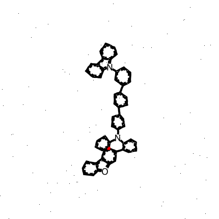 c1ccc(N(c2ccc(-c3ccc(-c4cccc(-n5c6ccccc6c6ccccc65)c4)cc3)cc2)c2ccccc2-c2ccc3c(c2)oc2ccccc23)cc1